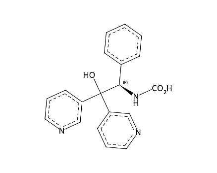 O=C(O)N[C@H](c1ccccc1)C(O)(c1cccnc1)c1cccnc1